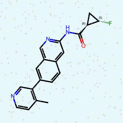 Cc1ccncc1-c1ccc2cc(NC(=O)[C@H]3C[C@@H]3F)ncc2c1